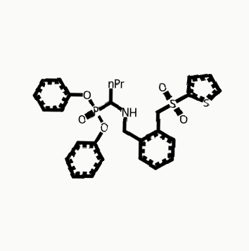 CCCC(NCc1ccccc1CS(=O)(=O)c1cccs1)P(=O)(Oc1ccccc1)Oc1ccccc1